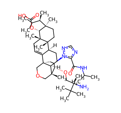 CC(C)NC(=O)c1ncnn1[C@@H]1C[C@@]23COC[C@](C)([C@@H]2CC[C@H]2C3=CC[C@]3(C)[C@H](OC(=O)O)[C@@](C)([C@H](C)C(C)C)CC[C@]23C)[C@H]1OC[C@](C)(N)C(C)(C)C